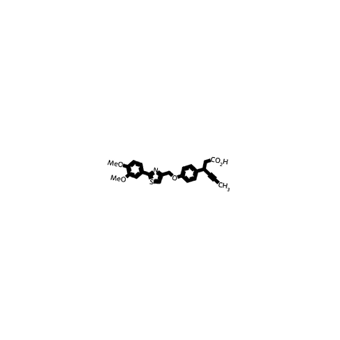 CC#CC(CC(=O)O)c1ccc(OCc2csc(-c3ccc(OC)c(OC)c3)n2)cc1